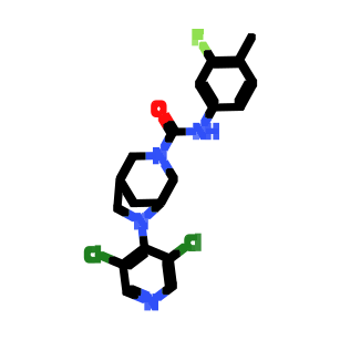 Cc1ccc(NC(=O)N2CC3CC(C2)N(c2c(Cl)cncc2Cl)C3)cc1F